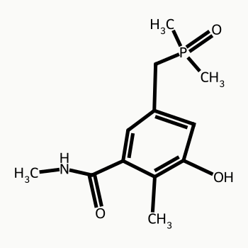 CNC(=O)c1cc(CP(C)(C)=O)cc(O)c1C